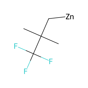 CC(C)([CH2][Zn])C(F)(F)F